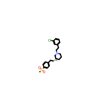 CS(=O)(=O)c1ccc(CC[C@H]2CCCN(CCc3cccc(Cl)c3)C2)cc1